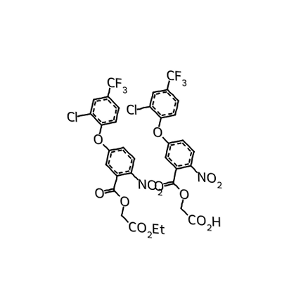 CCOC(=O)COC(=O)c1cc(Oc2ccc(C(F)(F)F)cc2Cl)ccc1[N+](=O)[O-].O=C(O)COC(=O)c1cc(Oc2ccc(C(F)(F)F)cc2Cl)ccc1[N+](=O)[O-]